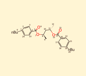 CCCCc1ccc(C(=O)O[C@H](C)C[C@H](C)OC(=O)c2ccc(CCCC)cc2)cc1